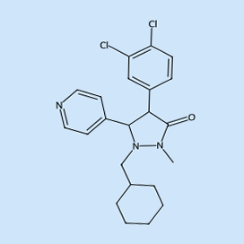 CN1C(=O)C(c2ccc(Cl)c(Cl)c2)C(c2ccncc2)N1CC1CCCCC1